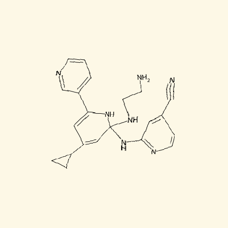 N#Cc1ccnc(NC2(NCCN)C=C(C3CC3)C=C(c3cccnc3)N2)c1